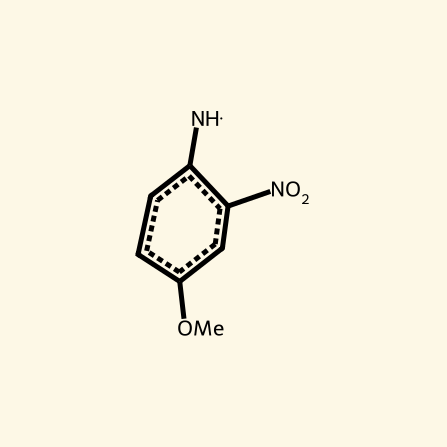 COc1ccc([NH])c([N+](=O)[O-])c1